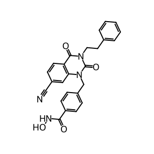 N#Cc1ccc2c(=O)n(CCc3ccccc3)c(=O)n(Cc3ccc(C(=O)NO)cc3)c2c1